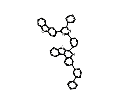 c1ccc(-c2cccc(-c3ccc4c(c3)nc(-c3cccc(-c5nc(-c6ccccc6)cc(-c6ccc7oc8ccccc8c7c6)n5)c3)c3sc5ccccc5c34)c2)cc1